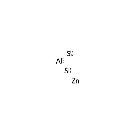 [Al].[Si].[Si].[Zn]